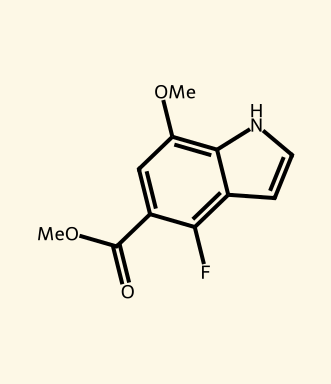 COC(=O)c1cc(OC)c2[nH]ccc2c1F